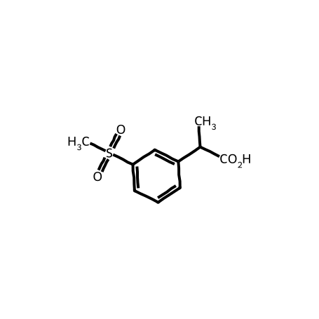 CC(C(=O)O)c1cccc(S(C)(=O)=O)c1